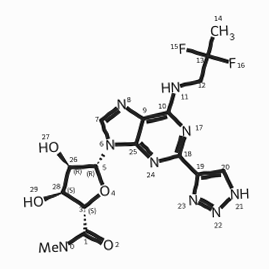 CNC(=O)[C@H]1O[C@@H](n2cnc3c(NCC(C)(F)F)nc(-c4c[nH]nn4)nc32)[C@H](O)[C@@H]1O